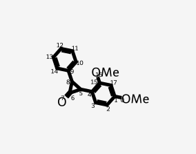 COc1ccc(C2C(=O)C2c2ccccc2)c(OC)c1